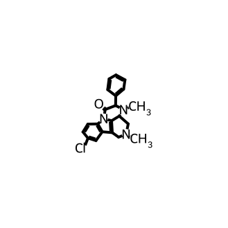 CN1Cc2c3n(c4ccc(Cl)cc24)C(=O)C(c2ccccc2)N(C)C3C1